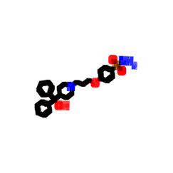 NS(=O)(=O)c1ccc(OCCCN2CCC(C(O)(c3ccccc3)c3ccccc3)CC2)cc1